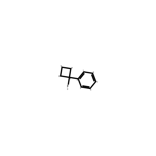 FC1(c2[c]cccc2)CCC1